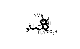 CN[C@H]1C[C@@H]2[C@@H](C[C@@](N)(C(=O)O)[C@H]2CCCB(O)O)[C@@H]1F